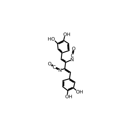 O=C=NC(=C\c1ccc(O)c(O)c1)/C(=C/c1ccc(O)c(O)c1)N=C=O